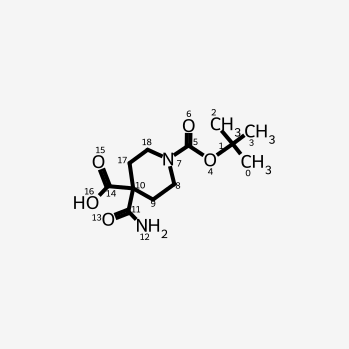 CC(C)(C)OC(=O)N1CCC(C(N)=O)(C(=O)O)CC1